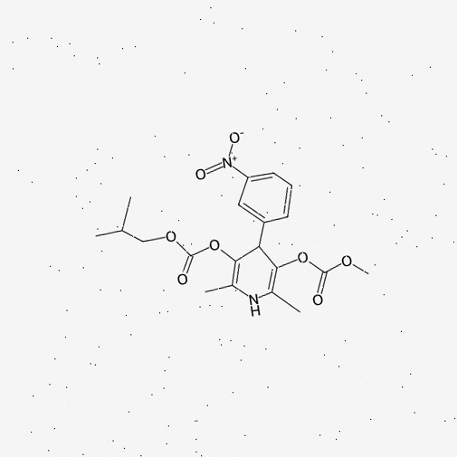 COC(=O)OC1=C(C)NC(C)=C(OC(=O)OCC(C)C)C1c1cccc([N+](=O)[O-])c1